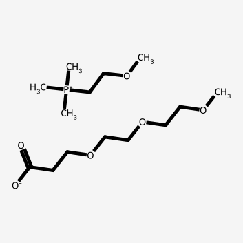 COCCOCCOCCC(=O)[O-].COCC[P+](C)(C)C